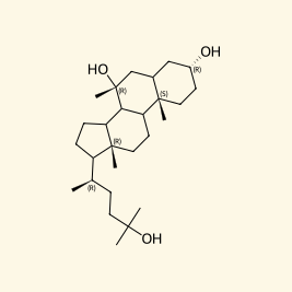 C[C@H](CCC(C)(C)O)C1CCC2C3C(CC[C@@]21C)[C@@]1(C)CC[C@@H](O)CC1C[C@@]3(C)O